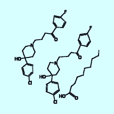 CCCCCCCCCC(=O)O.O=C(CCCN1CCC(O)(c2ccc(Cl)cc2)CC1)c1ccc(F)cc1.O=C(CCCN1CCC(O)(c2ccc(Cl)cc2)CC1)c1ccc(F)cc1